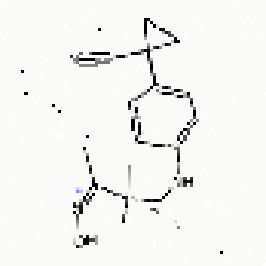 C/C(=N/O)C(C)(C)[C@@H](C)Nc1ccc(C2(C#N)CC2)cc1